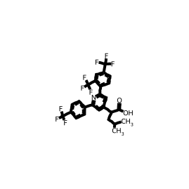 CC(C)CC(C(=O)O)c1cc(-c2ccc(C(F)(F)F)cc2)nc(-c2ccc(C(F)(F)F)cc2C(F)(F)F)c1